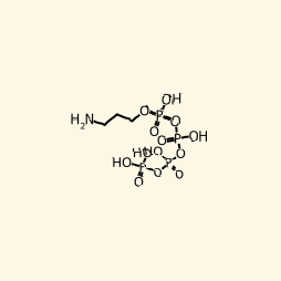 NCCCOP(=O)(O)OP(=O)(O)OP(=O)(O)OP(=O)(O)O